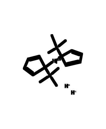 C[Si](C)(C)[C]1([Hf+2][C]2([Si](C)(C)C)C=CC=C2)C=CC=C1.[H-].[H-]